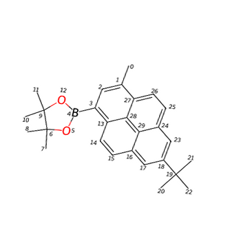 Cc1cc(B2OC(C)(C)C(C)(C)O2)c2ccc3cc(C(C)(C)C)cc4ccc1c2c43